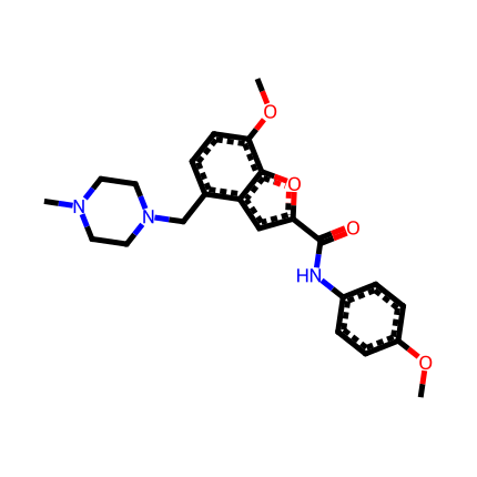 COc1ccc(NC(=O)c2cc3c(CN4CCN(C)CC4)ccc(OC)c3o2)cc1